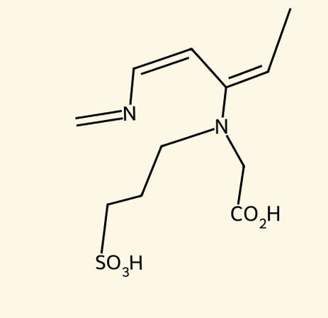 C=N/C=C\C(=C/C)N(CCCS(=O)(=O)O)CC(=O)O